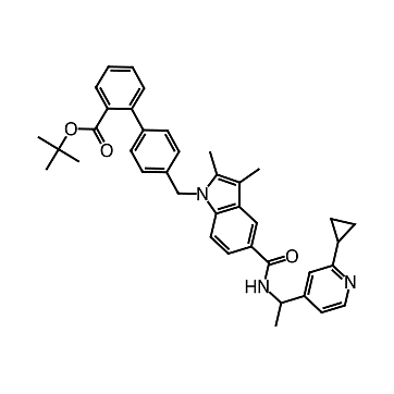 Cc1c(C)n(Cc2ccc(-c3ccccc3C(=O)OC(C)(C)C)cc2)c2ccc(C(=O)NC(C)c3ccnc(C4CC4)c3)cc12